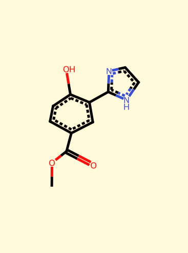 COC(=O)c1ccc(O)c(-c2ncc[nH]2)c1